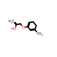 C=C(O)COC1=CCCC(C)=C1